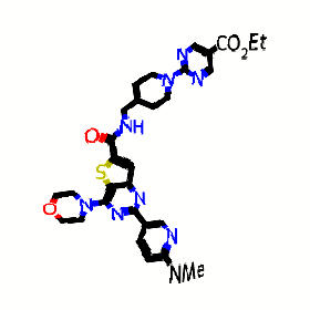 CCOC(=O)c1cnc(N2CCC(CNC(=O)c3cc4nc(-c5ccc(NC)nc5)nc(N5CCOCC5)c4s3)CC2)nc1